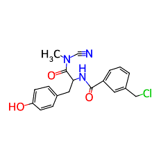 CN(C#N)C(=O)C(Cc1ccc(O)cc1)NC(=O)c1cccc(CCl)c1